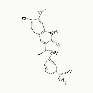 COc1cc2[nH]c(=O)c([C@H](C)Nc3cccc(C(N)=O)c3)cc2cc1Cl